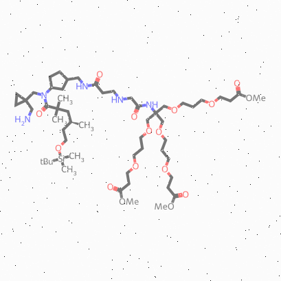 COC(=O)CCOCCCOCC(COCCCOCCC(=O)OC)(COCCCOCCC(=O)OC)NC(=O)CNCCC(=O)NCC1CCC(N(CC2(CN)CC2)C(=O)C(C)(C)C[C@@H](C)CCO[Si](C)(C)C(C)(C)C)C1